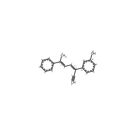 C#C/C(=C\C=C(/C)c1ccccc1)c1cccc(O)c1